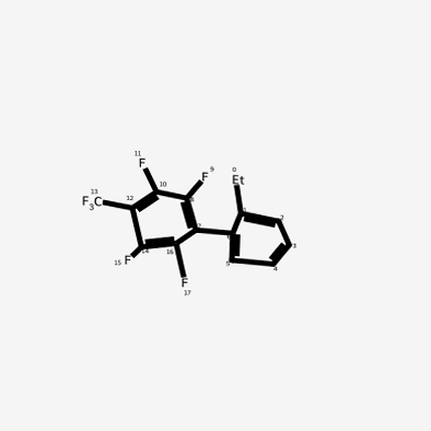 CCc1ccccc1-c1c(F)c(F)c(C(F)(F)F)c(F)c1F